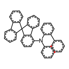 c1ccc(-c2ccccc2N(c2ccccc2)c2cccc3c2-c2ccccc2C32c3ccccc3-c3ccccc32)cc1